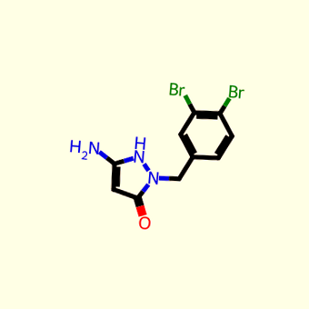 Nc1cc(=O)n(Cc2ccc(Br)c(Br)c2)[nH]1